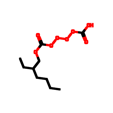 CCCCC(CC)COC(=O)OOOOC(=O)O